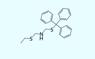 CCSCNCSC(c1ccccc1)(c1ccccc1)c1ccccc1